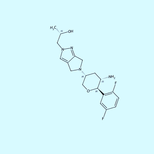 C[C@H](O)Cn1cc2c(n1)CN([C@H]1CO[C@H](c3cc(F)ccc3F)[C@@H](N)C1)C2